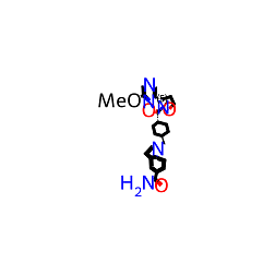 COc1cncc([C@@H]2CCON2C(=O)[C@H]2CC[C@H](Cn3ccc4cc(C(N)=O)ccc43)CC2)n1